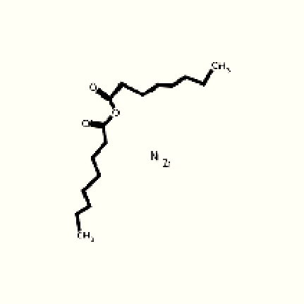 CCCCCCCC(=O)OC(=O)CCCCCCC.[Ni].[Zr]